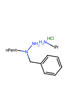 CC(C)N.CCCCCN(N)Cc1ccccc1.Cl